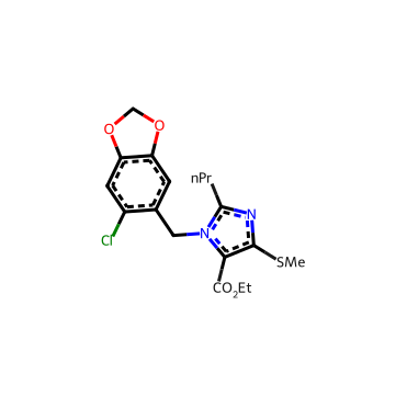 CCCc1nc(SC)c(C(=O)OCC)n1Cc1cc2c(cc1Cl)OCO2